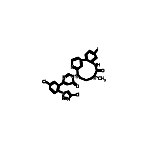 C[C@@H]1CCC[C@H](n2cnc(-c3cc(Cl)ccc3-n3cc(Cl)nn3)cc2=O)c2cc(ccn2)-c2ccc(I)cc2NC1=O